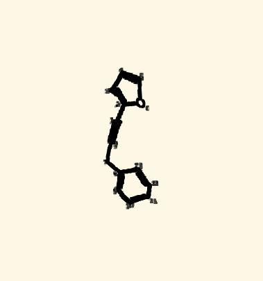 C(#Cc1ccco1)Cc1ccccc1